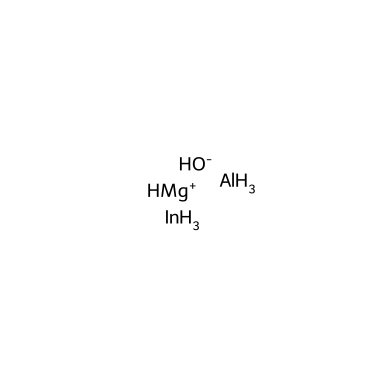 [AlH3].[InH3].[MgH+].[OH-]